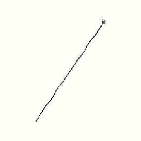 C#CC#CC#CC#CC#CC#CC#CC#CC#CC#CC#CC#CC#CC#CC#CC#CC#CC#CC#CC#CC#CC#CC#CC#CC#CC#CC#CC#CC#CC#CC#CC#CC#CC#CC#CC#CC#CC#CC#CC#CN=S